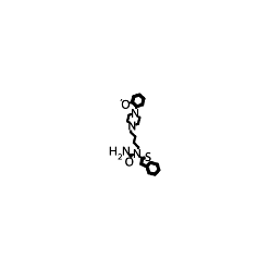 COc1ccccc1N1CCN(CCCCN(C(N)=O)c2cc3ccccc3s2)CC1